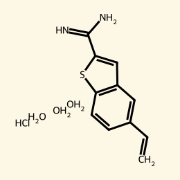 C=Cc1ccc2sc(C(=N)N)cc2c1.Cl.O.O.O